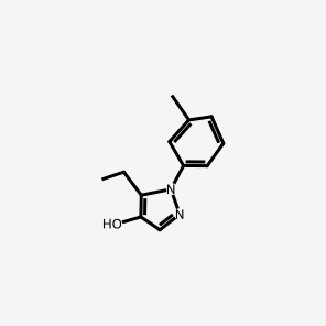 CCc1c(O)cnn1-c1cccc(C)c1